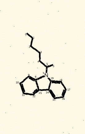 CCCCCC(C)n1c2ccccc2c2ccccc21